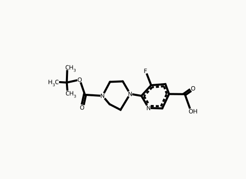 CC(C)(C)OC(=O)N1CCN(c2ncc(C(=O)O)cc2F)CC1